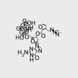 [N-]=[N+]=NCc1ccoc1C(=O)OC1C[C@H](n2cnc3c(=O)[nH]c(N)nc32)O[C@@H]1COP(=O)(O)OP(=O)(O)OP(=O)(O)O